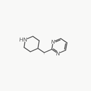 [CH](c1ncccn1)C1CCNCC1